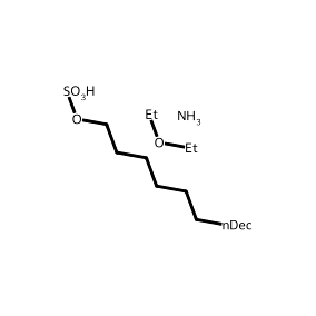 CCCCCCCCCCCCCCCCOS(=O)(=O)O.CCOCC.N